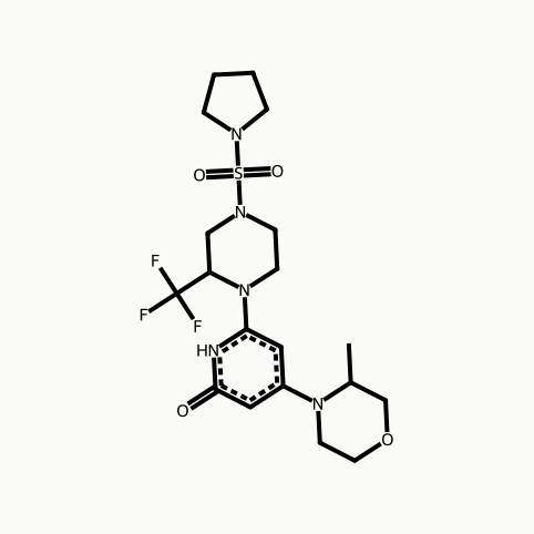 CC1COCCN1c1cc(N2CCN(S(=O)(=O)N3CCCC3)CC2C(F)(F)F)[nH]c(=O)c1